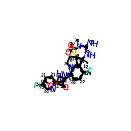 COC1CC(CN2CC[C@]3(C2)[C@@](C)(c2cc(NC(=O)c4ccc(F)cn4)ccc2F)NC(=N)N(C)S3(=O)=O)C1